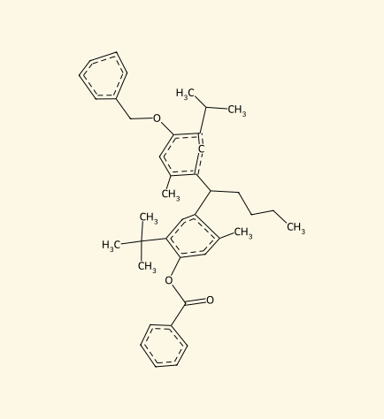 CCCCC(c1cc(C(C)C)c(OCc2ccccc2)cc1C)c1cc(C(C)(C)C)c(OC(=O)c2ccccc2)cc1C